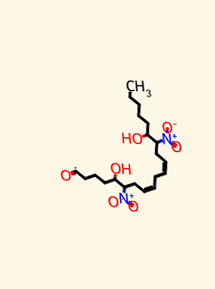 CCCCCC(O)C(C/C=C\C/C=C\CC(C(O)CCC[C]=O)[N+](=O)[O-])[N+](=O)[O-]